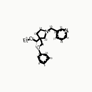 CCOCC1(COc2ccccc2)CCN(Cc2cccnc2)C1